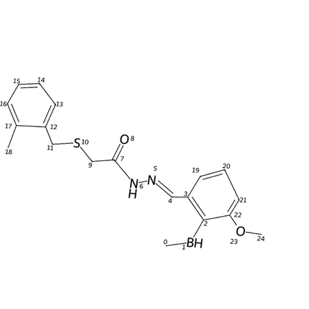 CBc1c(/C=N/NC(=O)CSCc2ccccc2C)cccc1OC